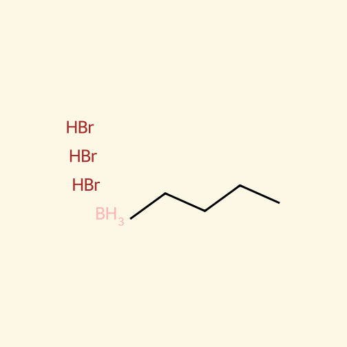 B.Br.Br.Br.CCCCC